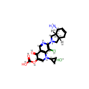 Cl.N[C@@H]1C=CC[C@@H]2CN(c3ncc4c(=O)c(OC(=O)O)cn(C5CC5)c4c3Cl)C[C@@H]21